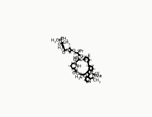 CO[C@@H](C)c1ncccc1-c1c2c3cc(ccc3n1CC(F)(F)F)-c1cc(F)cc(c1)C[C@H](NC(=O)[C@@H](COC1CN(C(=O)C#CC(C)(C)N(C)C)C1)C(C)C)C(=O)N1CCC[C@H](N1)C(=O)OCC(C)(C)C2